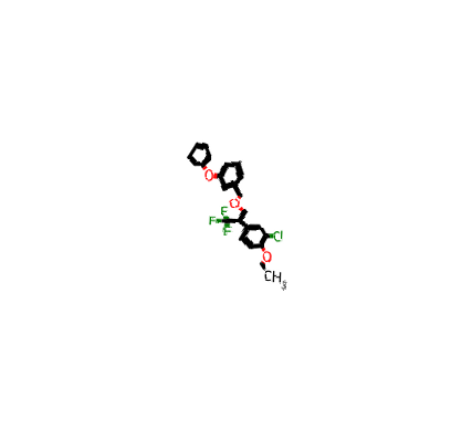 CCOc1ccc(C(COCc2cccc(Oc3ccccc3)c2)C(F)(F)F)cc1Cl